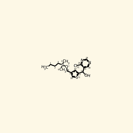 CCCC[Si](C)(C)OCc1csc(C(O)c2cncnc2Cl)c1